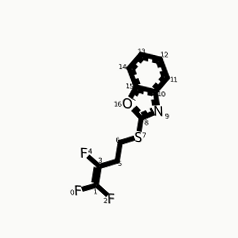 FC(F)=C(F)CCSc1nc2ccccc2o1